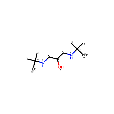 CCCC(C)(C)NCC(O)CNC(C)(C)CC